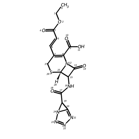 CCOC(=O)C=CC1=C(C(=O)O)N2C(=O)C(NC(=O)C3c4nnnn43)[C@@H]2SC1